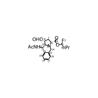 CCCC(F)OC(=O)[C@H]1C[C@@H](C=O)[C@H](CNC(C)=O)N1Cc1ccccc1